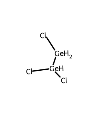 [Cl][GeH2][GeH]([Cl])[Cl]